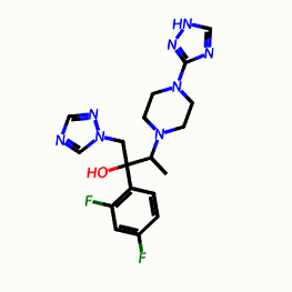 CC(N1CCN(c2nc[nH]n2)CC1)C(O)(Cn1cncn1)c1ccc(F)cc1F